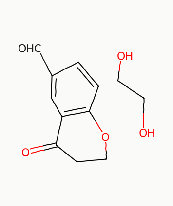 O=Cc1ccc2c(c1)C(=O)CCO2.OCCO